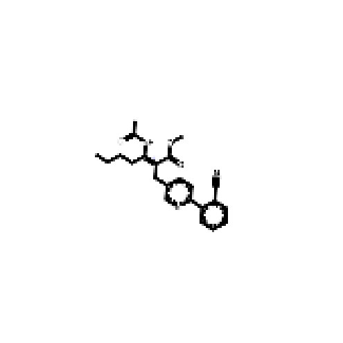 CCCC/C(NC(C)=O)=C(\Cc1ccc(-c2ccccc2C#N)nc1)C(=O)OC